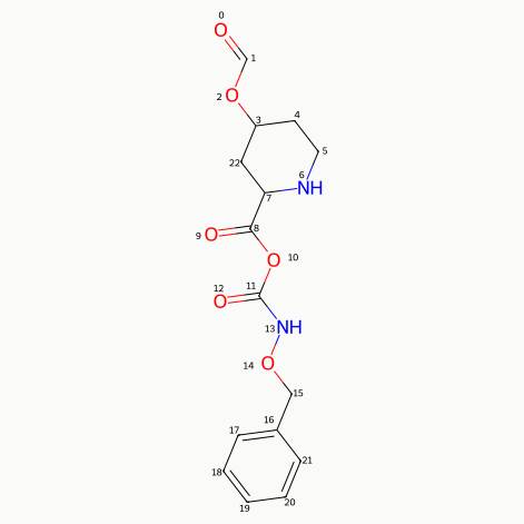 O=COC1CCNC(C(=O)OC(=O)NOCc2ccccc2)C1